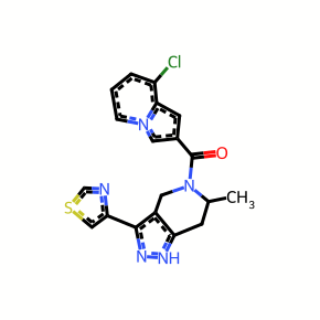 CC1Cc2[nH]nc(-c3cscn3)c2CN1C(=O)c1cc2c(Cl)cccn2c1